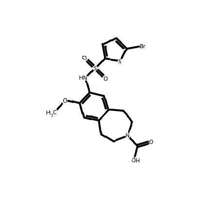 COc1cc2c(cc1NS(=O)(=O)c1ccc(Br)s1)CCN(C(=O)O)CC2